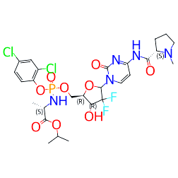 CC(C)OC(=O)[C@H](C)NP(=O)(OC[C@H]1OC(n2ccc(NC(=O)[C@@H]3CCCN3C)nc2=O)C(F)(F)[C@@H]1O)Oc1ccc(Cl)cc1Cl